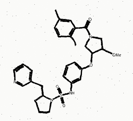 COC1CN(C(=O)c2cc(C)ccc2C)CC1Oc1cccc(NS(=O)(=O)N2CCCC2Cc2cccnc2)c1